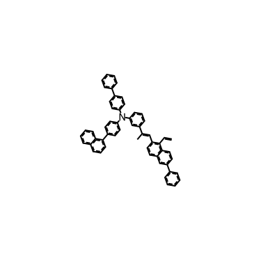 C=Cc1c(/C=C(\C)c2cccc(N(c3ccc(-c4ccccc4)cc3)c3ccc(-c4cccc5ccccc45)cc3)c2)ccc2cc(-c3ccccc3)ccc12